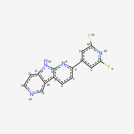 Fc1cc(-c2ccc3c(n2)[nH]c2ccncc23)cc(F)n1